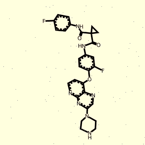 O=C(Nc1ccc(F)cc1)C1(C(=O)Nc2ccc(Oc3ccnc4nc(N5CCNCC5)cnc34)c(F)c2)CC1